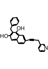 Oc1cc2ccc(C#CCc3cccnc3)cc2c(O)c1Cc1ccccc1